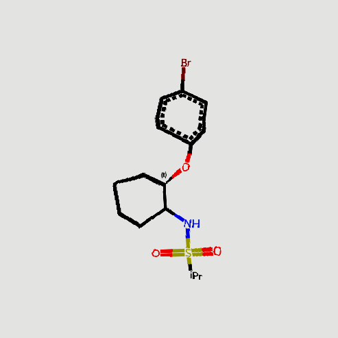 CC(C)S(=O)(=O)N[C]1CCCC[C@H]1Oc1ccc(Br)cc1